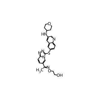 CC(=NOCCO)c1ccc2nnc(Sc3ccc4ncc(NC5CCOCC5)cc4c3)n2c1